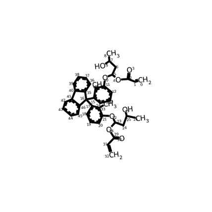 C=CC(=O)OC(CC(C)O)Oc1cccc(C2(c3cccc(OC(CC(C)O)OC(=O)C=C)c3C)c3ccccc3-c3ccccc32)c1C